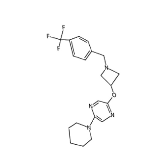 FC(F)(F)c1ccc(CN2CC(Oc3cnc(N4CCCCC4)cn3)C2)cc1